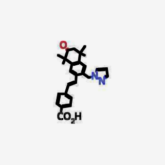 CC1(C)CC(=O)C(C)(C)c2cc(C=Cc3ccc(C(=O)O)cc3)c(Cn3cccn3)cc21